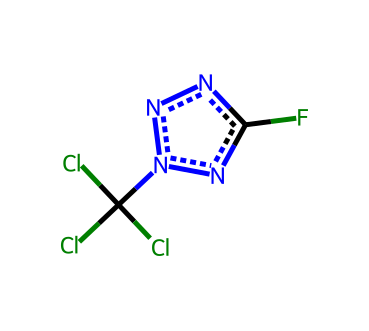 Fc1nnn(C(Cl)(Cl)Cl)n1